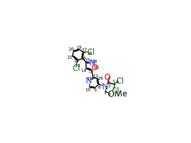 COCN(C(=O)C(Cl)Cl)c1ccnc(-c2cc(-c3c(Cl)cccc3Cl)no2)c1